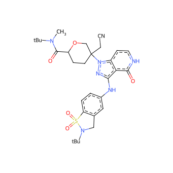 CN(C(=O)C1CCC(CC#N)(n2nc(Nc3ccc4c(c3)CN(C(C)(C)C)S4(=O)=O)c3c(=O)[nH]ccc32)CO1)C(C)(C)C